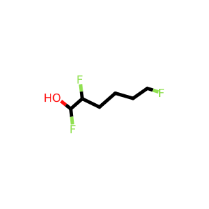 OC(F)C(F)CCCCF